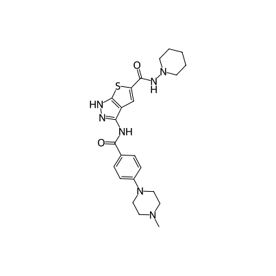 CN1CCN(c2ccc(C(=O)Nc3n[nH]c4sc(C(=O)NN5CCCCC5)cc34)cc2)CC1